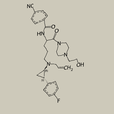 C=CCN(CCCC(NC(=O)c1ccc(C#N)cc1)C(=O)N1CCN(CCO)CC1)[C@@H]1C[C@H]1c1ccc(F)cc1